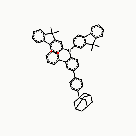 CC1(C)c2ccccc2-c2ccc(N(c3ccc4c(c3)C(C)(C)c3ccccc3-4)c3ccc(-c4ccc(C56CC7CC(CC(C7)C5)C6)cc4)cc3-c3ccccc3)cc21